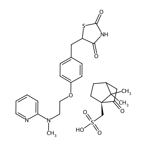 CC1(C)C2CC[C@@]1(CS(=O)(=O)O)C(=O)C2.CN(CCOc1ccc(CC2SC(=O)NC2=O)cc1)c1ccccn1